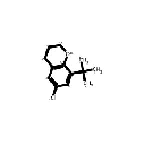 CC(C)(C)c1cc(Cl)cc2c1OCCC2